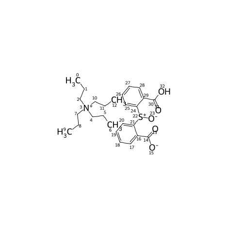 CCC[N+](CCC)(CCC)CCC.O=C([O-])c1ccccc1[S+]([O-])c1ccccc1C(=O)O